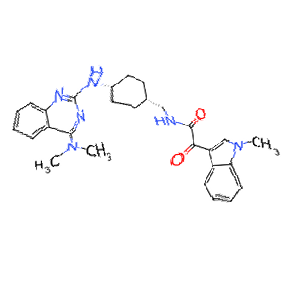 CN(C)c1nc(N[C@H]2CC[C@@H](CNC(=O)C(=O)c3cn(C)c4ccccc34)CC2)nc2ccccc12